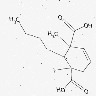 CCCCC1C(C)(C(=O)O)C=CCC1(I)C(=O)O